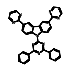 c1ccc(-c2nc(-c3ccccc3)nc(-n3c4ccc(-c5ncccn5)cc4c4cc(-c5ncccn5)ccc43)n2)cc1